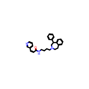 O=C(/C=C\c1cccnc1)NCCCCN1CCc2ccccc2C(c2ccccc2)C1